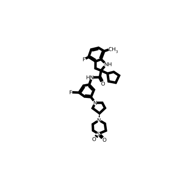 Cc1ccc(F)c2c1NC(C(=O)Nc1cc(F)cc(N3CC[C@H](N4CCS(=O)(=O)CC4)C3)c1)(C1CCCC1)C2